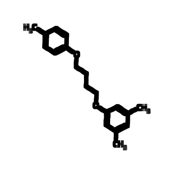 Cc1ccc(OCCCCOc2cc(C)cc(C)c2)cc1